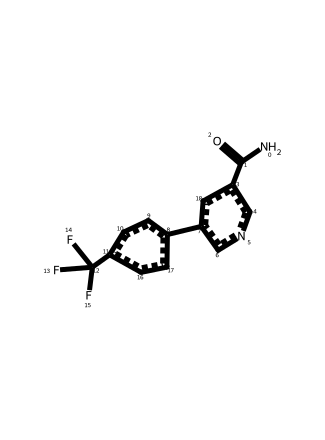 NC(=O)c1cncc(-c2ccc(C(F)(F)F)cc2)c1